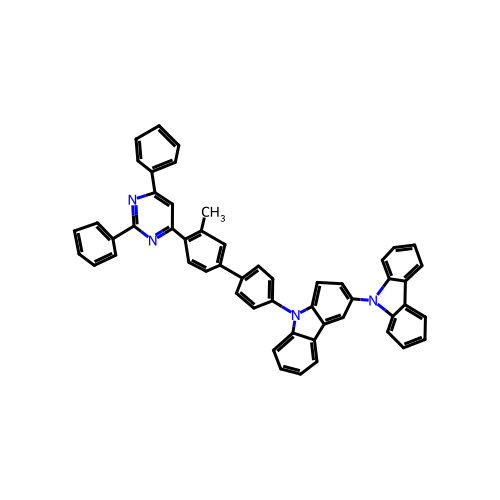 Cc1cc(-c2ccc(-n3c4ccccc4c4cc(-n5c6ccccc6c6ccccc65)ccc43)cc2)ccc1-c1cc(-c2ccccc2)nc(-c2ccccc2)n1